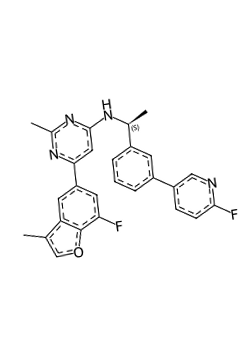 Cc1nc(N[C@@H](C)c2cccc(-c3ccc(F)nc3)c2)cc(-c2cc(F)c3occ(C)c3c2)n1